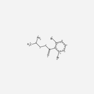 CC(P)CCC(=O)c1c(Br)cccc1Br